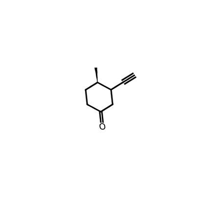 C#CC1CC(=O)CC[C@H]1C